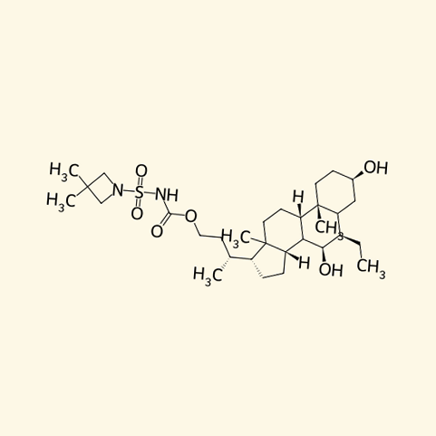 CC[C@@H]1C2C[C@H](O)CC[C@@]2(C)[C@H]2CCC3(C)[C@@H]([C@H](C)CCOC(=O)NS(=O)(=O)N4CC(C)(C)C4)CC[C@H]3C2[C@@H]1O